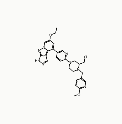 CCOc1cc(-c2ccc(N3CCN(Cc4ccc(OC)nc4)C(CCl)C3)nc2)c2c3cn[nH]c3nn2c1